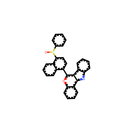 [O-][S+](c1ccccc1)c1ccc(-c2oc3ccccc3c3nc4ccccc4c2-3)c2ccccc12